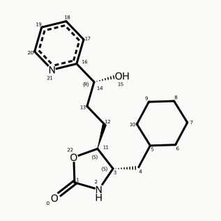 O=C1N[C@@H](CC2CCCCC2)[C@H](CC[C@@H](O)c2ccccn2)O1